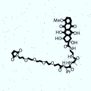 COc1cccc2c1C(=O)c1c(O)c3c(c(O)c1C2=O)C[C@@](O)(C(=O)NCCNC(=O)[C@H](C)NC(=O)[C@@H](NC(=O)CCOCCOCCOCCOCCN1C(=O)C=CC1=O)C(C)C)C[C@@H]3O